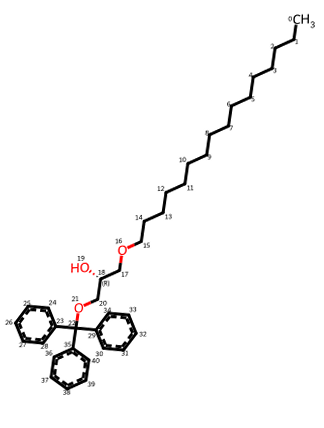 CCCCCCCCCCCCCCCCOC[C@@H](O)COC(c1ccccc1)(c1ccccc1)c1ccccc1